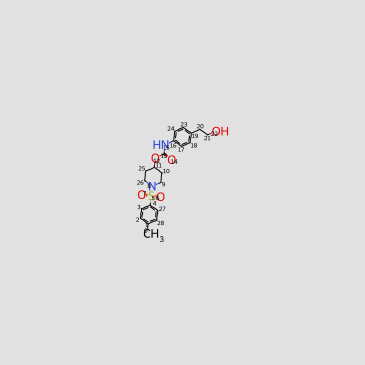 Cc1ccc(S(=O)(=O)N2CCC(OC(=O)Nc3ccc(CCO)cc3)CC2)cc1